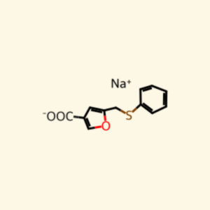 O=C([O-])c1coc(CSc2ccccc2)c1.[Na+]